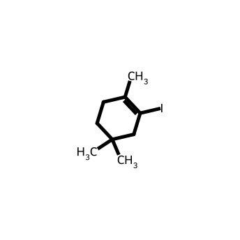 CC1=C(I)CC(C)(C)CC1